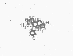 CC1C(Oc2ccc(Cl)cc2)C2N(C)C(=O)CC[C@]2(C)[C@@H]2CC[C@]3(C)CCC[C@H]3[C@H]12